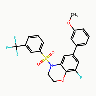 COc1cccc(-c2cc(F)c3c(c2)N(S(=O)(=O)c2cccc(C(F)(F)F)c2)CCO3)c1